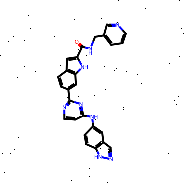 O=C(NCc1cccnc1)c1cc2ccc(-c3nccc(Nc4ccc5[nH]ncc5c4)n3)cc2[nH]1